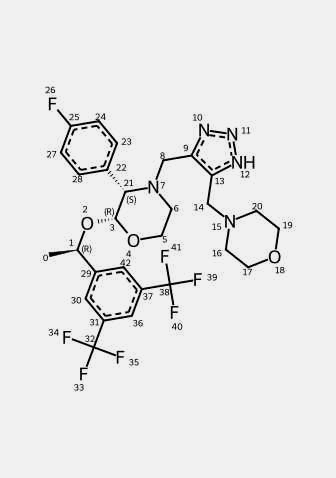 C[C@@H](O[C@H]1OCCN(Cc2nn[nH]c2CN2CCOCC2)[C@H]1c1ccc(F)cc1)c1cc(C(F)(F)F)cc(C(F)(F)F)c1